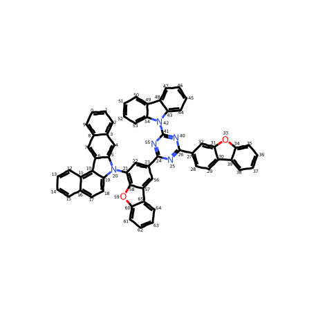 c1ccc2cc3c(cc2c1)c1c2ccccc2ccc1n3-c1cc(-c2nc(-c3ccc4c(c3)oc3ccccc34)nc(-n3c4ccccc4c4ccccc43)n2)cc2c1oc1ccccc12